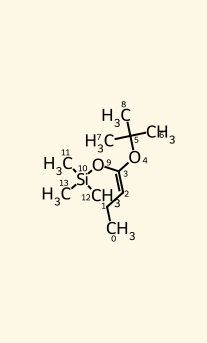 CCC=C(OC(C)(C)C)O[Si](C)(C)C